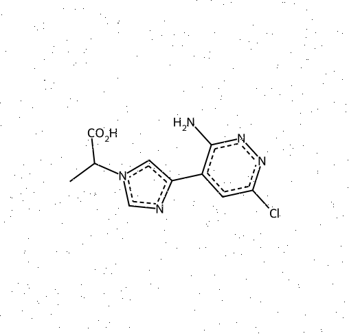 CC(C(=O)O)n1cnc(-c2cc(Cl)nnc2N)c1